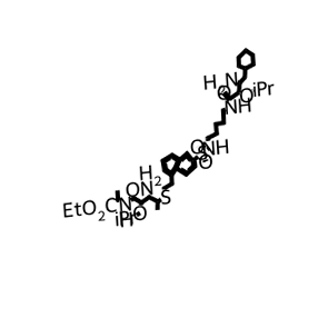 CCOC(=O)[C@@H](C)NC(=O)C(OC(C)C)[C@@H](N)C(C)SCCc1cccc2cc(S(=O)(=O)NCCCCCNC(=O)C(OC(C)C)C(N)CC3CCCCC3)ccc12